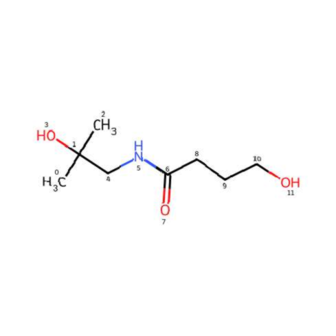 CC(C)(O)CNC(=O)CCCO